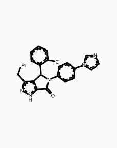 CC(C)Cc1n[nH]c2c1C(c1ccccc1Cl)N(c1ccc(-n3ccnc3)cc1)C2=O